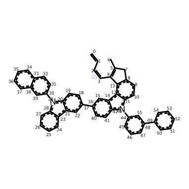 C=C/C=C\C1=C(C)Cc2ccc3c(c21)c1cc(-c2ccc4c(c2)c2ccccc2n4-c2ccc4ccccc4c2)ccc1n3-c1cccc(-c2ccccc2)c1